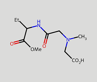 CCC(NC(=O)CN(C)CC(=O)O)C(=O)OC